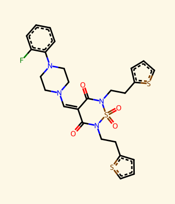 O=C1C(=CN2CCN(c3ccccc3F)CC2)C(=O)N(CCc2cccs2)S(=O)(=O)N1CCc1cccs1